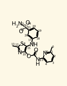 Cc1cccc(NC(=O)Oc2nc(C)sc2Nc2cccc(S(N)(=O)=O)c2)n1